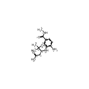 CNC(=O)c1ccc(N)c(N[C@@H](CC(=O)O)C(C)(C)C)c1